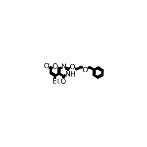 CCc1cc(=O)oc2nc(OCCOCc3ccccc3)[nH]c(=O)c12